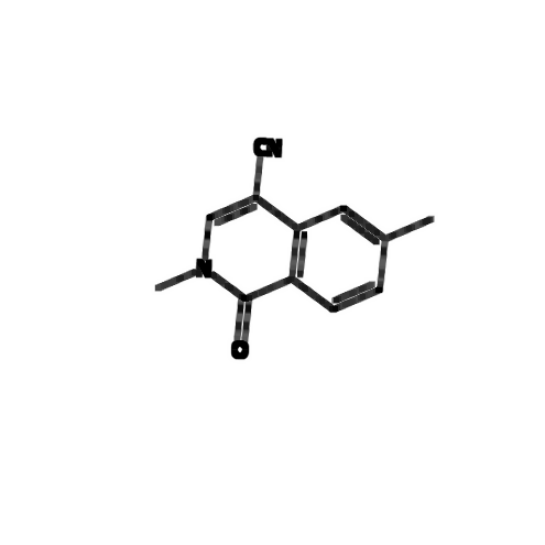 Cc1ccc2c(=O)n(C)cc(C#N)c2c1